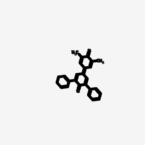 CC1=CC(=C2C=C(C3=CCCC=C3)C(=O)C(c3ccccc3)=C2)C=C(C)C1=O